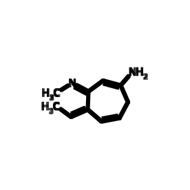 C/C=C1/C=CCC(N)=C/C1=N/C